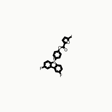 O=C(Oc1ccc([SH]2c3ccc(F)cc3-c3cc(F)ccc32)cc1)c1ccc(I)o1